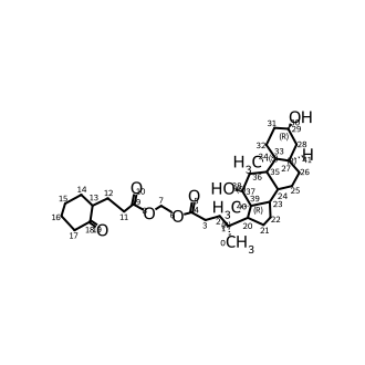 C[C@H](CCC(=O)OCOC(=O)CCC1CCCCC1=O)C1CCC2C3CC[C@@H]4C[C@H](O)CC[C@]4(C)C3C[C@H](O)[C@@]21C